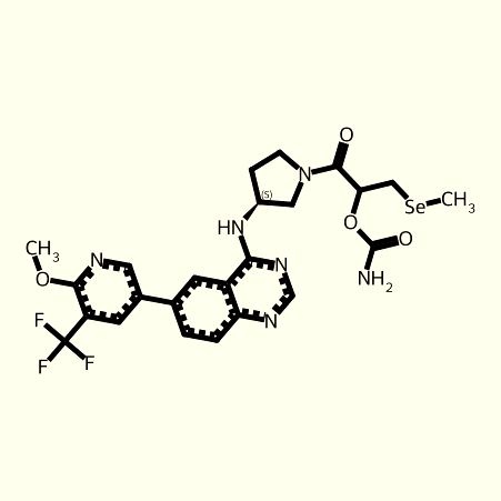 COc1ncc(-c2ccc3ncnc(N[C@H]4CCN(C(=O)C(C[Se]C)OC(N)=O)C4)c3c2)cc1C(F)(F)F